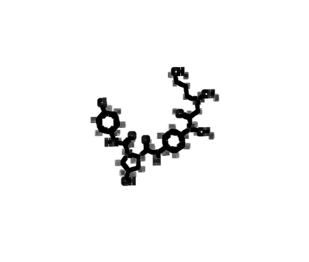 CCCCN(C)CC(=O)N(C)c1ccc(NC(=O)[C@H]2C[C@@H](O)CN2C(=O)Nc2ccc(Cl)cc2)cc1